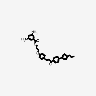 CCCc1ccc(-c2ccc(C(=O)C=Cc3ccc(OCCCOC(=O)c4cc(N)cc(N)c4)cc3)cc2)cc1